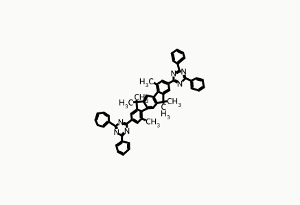 Cc1cc(-c2nc(C3=CCC=CC=C3)nc(-c3ccccc3)n2)cc2c1-c1cc3c(cc1C2(C)C)-c1c(C)cc(-c2nc(-c4ccccc4)nc(-c4ccccc4)n2)cc1C3(C)C